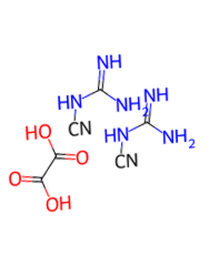 N#CNC(=N)N.N#CNC(=N)N.O=C(O)C(=O)O